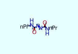 CCCNC(=O)N=NC(=O)NCCC